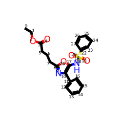 CCOC(=O)CCCc1nc(-c2ccccc2)c(NS(=O)(=O)c2ccccc2)o1